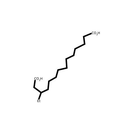 CCC(CCCCCCCCCCC(=O)O)CC(=O)O